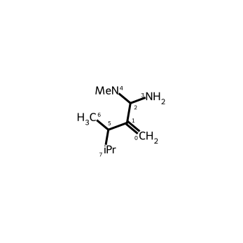 C=C(C(N)NC)C(C)C(C)C